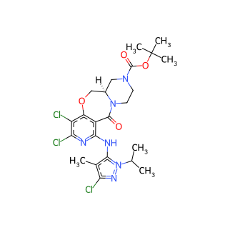 Cc1c(Cl)nn(C(C)C)c1Nc1nc(Cl)c(Cl)c2c1C(=O)N1CCN(C(=O)OC(C)(C)C)C[C@@H]1CO2